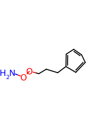 NOOCCCc1ccccc1